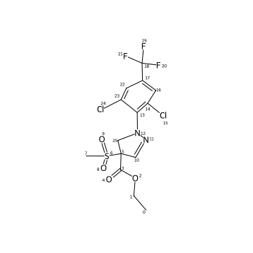 CCOC(=O)C1(S(C)(=O)=O)C=NN(c2c(Cl)cc(C(F)(F)F)cc2Cl)C1